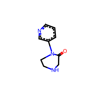 O=C1CNCCN1c1cc[c]nc1